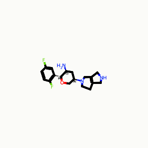 N[C@H]1C[C@@H](N2CCC3=C(CNC3)C2)CO[C@@H]1c1cc(F)ccc1F